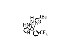 CC(C)(C)c1cc(NC(=O)Nc2cccnc2Oc2cccc(C(F)(F)F)c2)no1